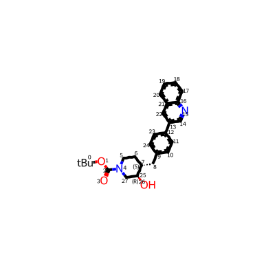 CC(C)(C)OC(=O)N1CC[C@H](Cc2ccc(-c3cnc4ccccc4c3)cc2)[C@@H](O)C1